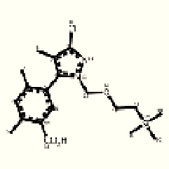 Cc1cc(C)c(-c2c(C)c(Cl)nn2COCC[Si](C)(C)C)cc1C(=O)O